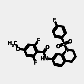 COc1cc(F)c(C(=O)Nc2ccc3c(c2)N(S(=O)(=O)c2ccc(F)cc2)CCC3)c(F)c1